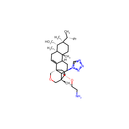 CC(C)[C@@H](C)[C@@]1(C)CC[C@]2(C)[C@H]3CC[C@@H]4[C@@]5(COC[C@@]4(C)[C@@H](OCCN)[C@H](n4cnnn4)C5)C3=CC[C@@]2(C)[C@@H]1C(=O)O